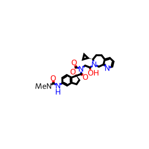 CNC(=O)Nc1ccc2c(c1)CC[C@]21OC(=O)N(CC(O)N2Cc3ncccc3CC[C@H]2C2CC2)C1=O